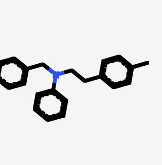 Cc1ccc(CCN(Cc2ccccc2)c2ccccc2)cc1